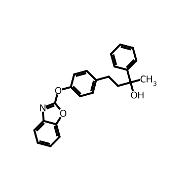 CC(O)(CCc1ccc(Oc2nc3ccccc3o2)cc1)c1ccccc1